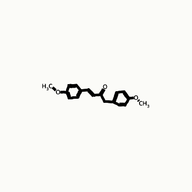 COc1ccc(C=CC(=O)Cc2ccc(OC)cc2)cc1